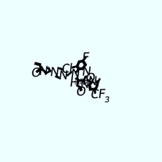 C=CC(=O)N1CC(N2CCN(CCN3C[C@H]4CC(=O)N(c5cc(C(F)(F)F)cc(C)n5)[C@@H]4C(=O)N(C)c4cc(F)cc(Cl)c43)CC2)C1